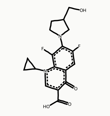 O=C(O)c1cn(C2CC2)c2c(F)c(N3CCC(CO)C3)c(F)cc2c1=O